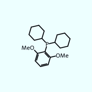 COc1cccc(OC)c1P(C1CCCCC1)C1CCCCC1